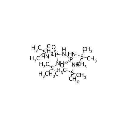 CS(C)(C)NP(=O)(NP(=O)(NS(C)(C)C)NS(C)(C)C)NS(C)(C)C